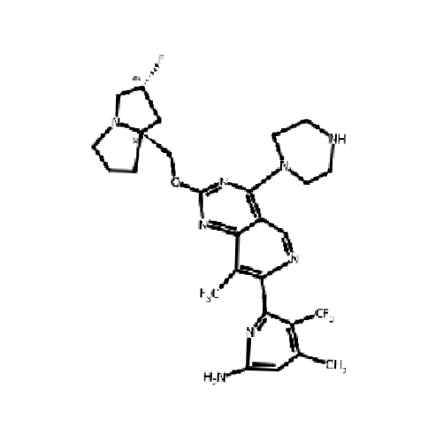 Cc1cc(N)nc(-c2ncc3c(N4CCNCC4)nc(OC[C@@]45CCCN4C[C@H](F)C5)nc3c2C(F)(F)F)c1C(F)(F)F